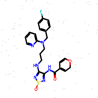 O=C(Nc1n[s+]([O-])nc1NCCCN(Cc1ccc(F)cc1)c1ccccn1)C1=CCOC=C1